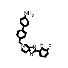 Nc1ccc(-c2ccc(Cn3ccc4nc(-c5cccc(F)c5F)nc-4c3)cc2)cc1